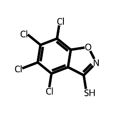 Sc1noc2c(Cl)c(Cl)c(Cl)c(Cl)c12